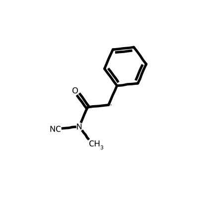 CN(C#N)C(=O)[CH]c1ccccc1